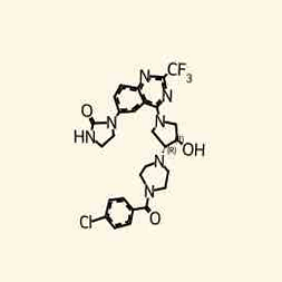 O=C(c1ccc(Cl)cc1)N1CCN([C@@H]2CN(c3nc(C(F)(F)F)nc4ccc(N5CCNC5=O)cc34)C[C@H]2O)CC1